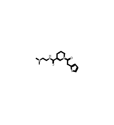 CN(C)CCNC(=O)C1CCCN(C(=O)Cc2cccs2)C1